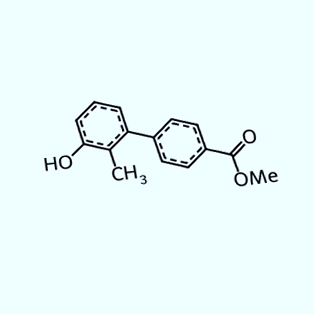 COC(=O)c1ccc(-c2cccc(O)c2C)cc1